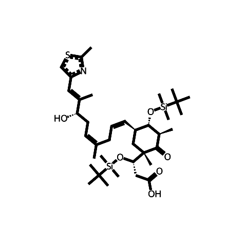 C/C(=C/C[C@H](O)/C(C)=C/c1csc(C)n1)C/C=C\[C@@H]1C[C@@](C)([C@H](CC(=O)O)O[Si](C)(C)C(C)(C)C)C(=O)[C@H](C)[C@H]1O[Si](C)(C)C(C)(C)C